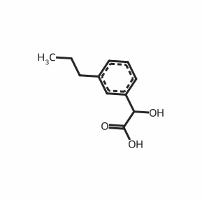 CCCc1cccc(C(O)C(=O)O)c1